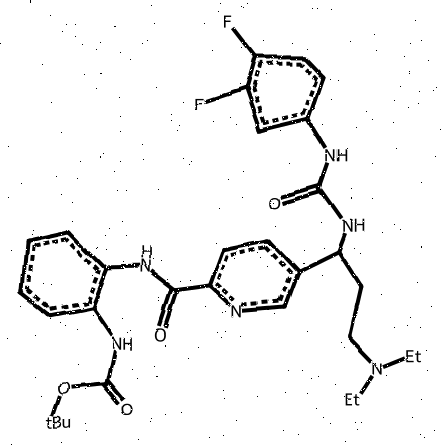 CCN(CC)CCC(NC(=O)Nc1ccc(F)c(F)c1)c1ccc(C(=O)Nc2ccccc2NC(=O)OC(C)(C)C)nc1